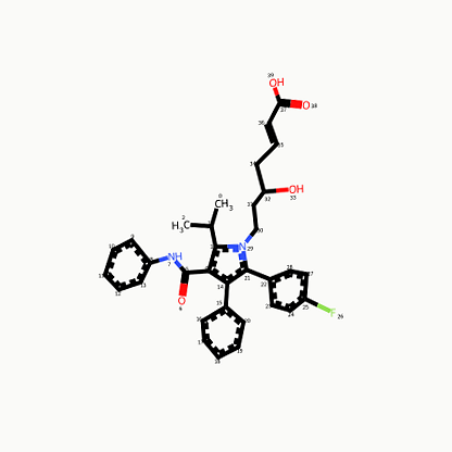 CC(C)c1c(C(=O)Nc2ccccc2)c(-c2ccccc2)c(-c2ccc(F)cc2)n1CCC(O)CC=CC(=O)O